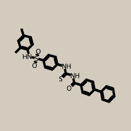 Cc1ccc(NS(=O)(=O)c2ccc(NC(=S)NC(=O)c3ccc(-c4ccccc4)cc3)cc2)c(C)c1